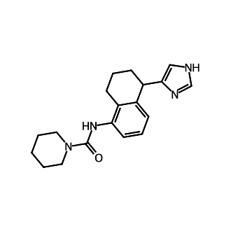 O=C(Nc1cccc2c1CCCC2c1c[nH]cn1)N1CCCCC1